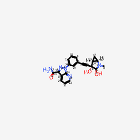 CN1C(O)[C@@](O)(C#Cc2cccc(-n3nc(C(N)=O)c4cccnc43)c2)[C@H]2C[C@H]21